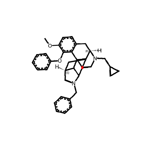 COc1ccc2c(c1Oc1ccccc1)C13CCN(CC4CC4)[C@H](C2)C12CCC1C3[C@@H](CN1Cc1ccccc1)C2